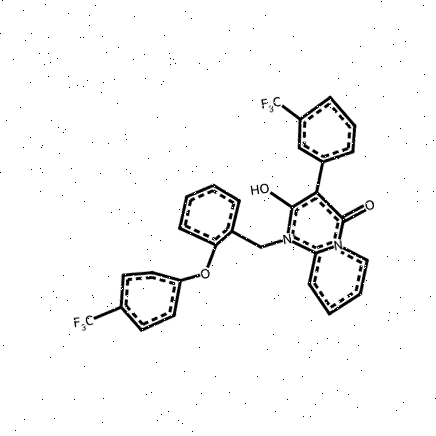 O=c1c(-c2cccc(C(F)(F)F)c2)c(O)[n+](Cc2ccccc2Oc2ccc(C(F)(F)F)cc2)c2ccccn12